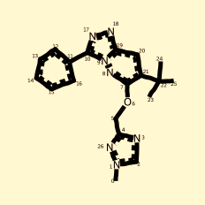 Cn1cnc(COc2nn3c(-c4ccccc4)nnc3cc2C(C)(C)C)n1